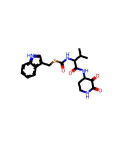 CC(C)C(NC(=O)SCc1c[nH]c2ccccc12)C(=O)NC1CCNC(=O)C1=O